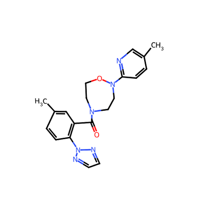 Cc1ccc(N2CCN(C(=O)c3cc(C)ccc3-n3nccn3)CCO2)nc1